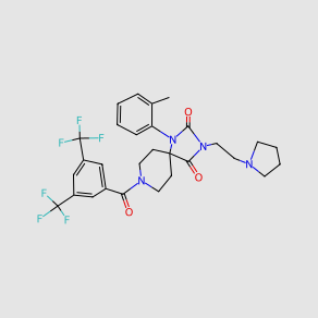 Cc1ccccc1N1C(=O)N(CCN2CCCC2)C(=O)C12CCN(C(=O)c1cc(C(F)(F)F)cc(C(F)(F)F)c1)CC2